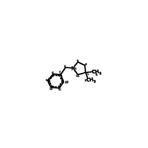 CC1(C)CCN(Cc2ccccc2)C1